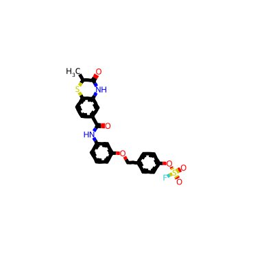 CC1Sc2ccc(C(=O)Nc3cccc(OCc4ccc(OS(=O)(=O)F)cc4)c3)cc2NC1=O